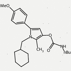 CCCCNC(=O)Oc1cc(-c2ccc(OC)cc2)n(CC2CCCCC2)c1C